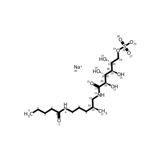 CCCCC(=O)NCCC[C@H](C)CNC(=O)[C@H](O)[C@H](O)[C@H](O)[C@H](O)COS(=O)(=O)[O-].[Na+]